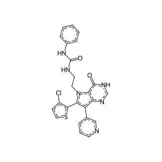 O=C(NCCn1c(-c2sccc2Cl)c(-c2cccnc2)c2nc[nH]c(=O)c21)Nc1ccccc1